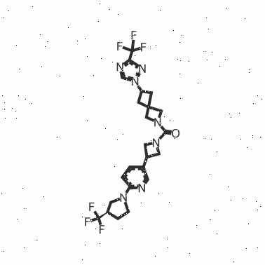 O=C(N1CC(c2ccc(N3CC[C@@H](C(F)(F)F)C3)nc2)C1)N1CC2(CC(n3cnc(C(F)(F)F)n3)C2)C1